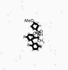 COc1ccc(S(=O)(=O)NC(C)c2ccc(F)cc2-c2cc(F)ccc2F)cc1